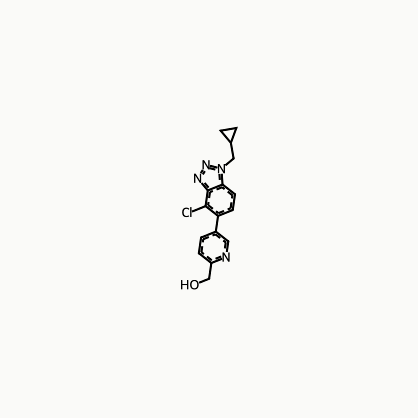 OCc1ccc(-c2ccc3c(nnn3CC3CC3)c2Cl)cn1